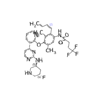 C=C/C=C\c1c(NS(=O)(=O)CCC(F)(F)F)cc(C)c(Oc2ncccc2-c2ccnc(N[C@@H]3CNC[C@@H](F)C3)n2)c1C